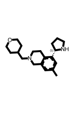 Cc1cc2c(c([C@@H]3CCCN3)c1)CCN(CC1CCOCC1)C2